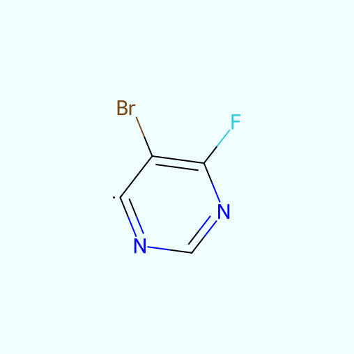 Fc1ncn[c]c1Br